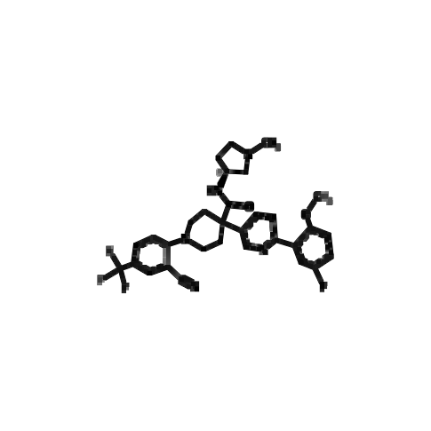 COc1ccc(F)cc1-c1ccc(C2(C(=O)N[C@H]3CCN(C)C3)CCN(c3ccc(C(F)(F)F)cc3C#N)CC2)cn1